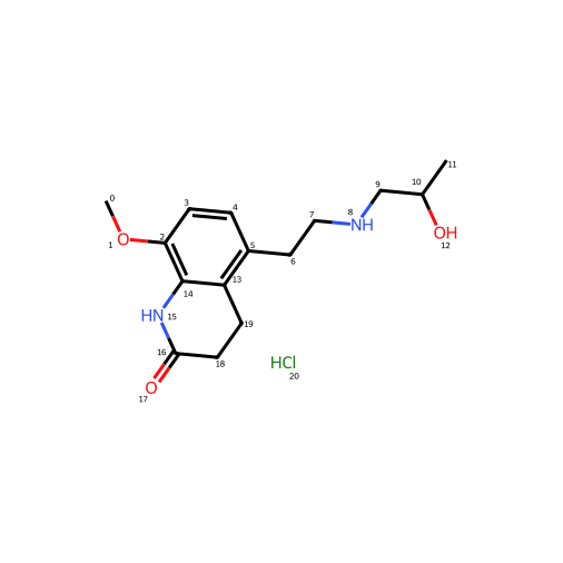 COc1ccc(CCNCC(C)O)c2c1NC(=O)CC2.Cl